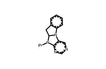 CC(C)N1c2ncncc2N2c3ccccc3CC21